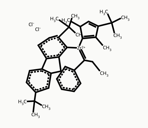 CC/[C](c1ccccc1)=[Zr+2](\[C]1=C(C)C(C(C)(C)C)=CC1C)[c]1c(C(C)(C)C)ccc2c1Cc1cc(C(C)(C)C)ccc1-2.[Cl-].[Cl-]